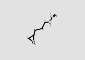 CCCOCCCC1CO1